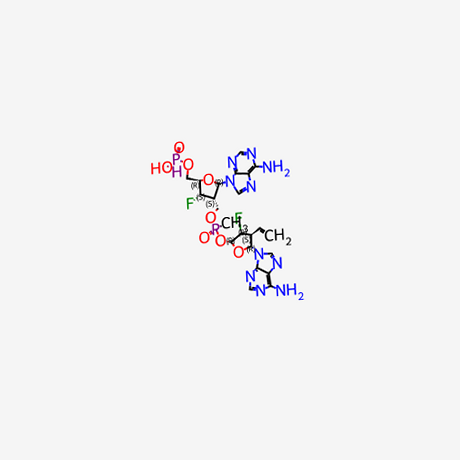 C=C[C@@H]1[C@H](F)[C@@H](OP(C)(=O)OC[C@@H]2[C@H](F)[C@@H](CO[PH](=O)O)O[C@H]2n2cnc3c(N)ncnc32)O[C@H]1n1cnc2c(N)ncnc21